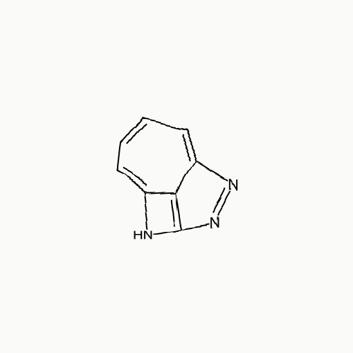 c1ccc2[nH]c3nnc(c1)c23